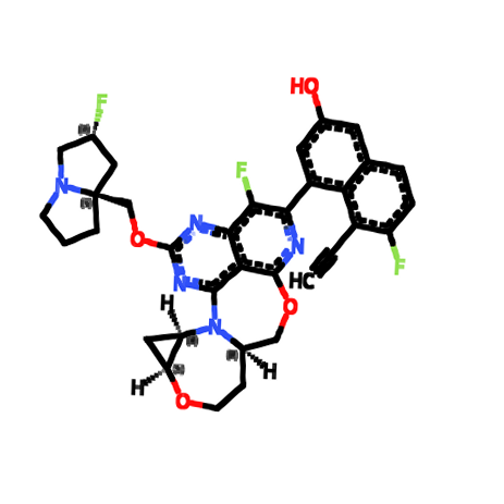 C#Cc1c(F)ccc2cc(O)cc(-c3nc4c5c(nc(OC[C@@]67CCCN6C[C@H](F)C7)nc5c3F)N3[C@H](CCO[C@H]5C[C@H]53)CO4)c12